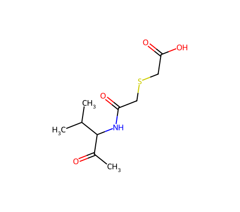 CC(=O)C(NC(=O)CSCC(=O)O)C(C)C